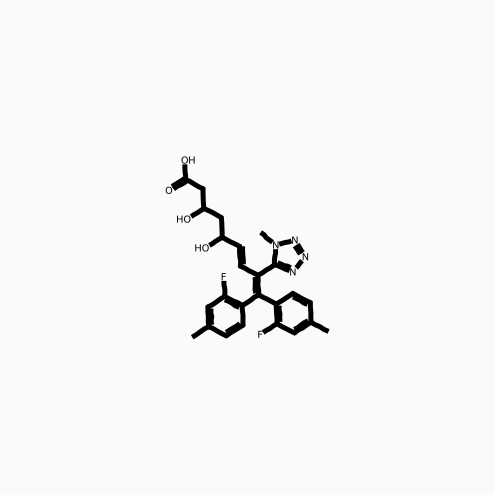 Cc1ccc(C(=C(C=CC(O)CC(O)CC(=O)O)c2nnnn2C)c2ccc(C)cc2F)c(F)c1